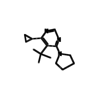 CC(C)(C)c1c(C2CC2)ncnc1N1CCCC1